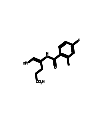 CCC/C=C(\CCC(=O)O)NC(=O)c1ccc(F)cc1C